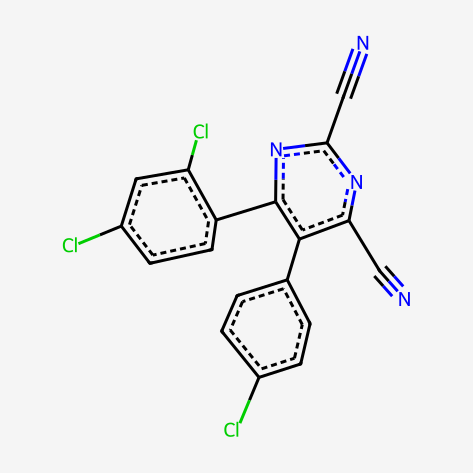 N#Cc1nc(C#N)c(-c2ccc(Cl)cc2)c(-c2ccc(Cl)cc2Cl)n1